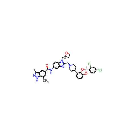 Cc1n[nH]c2c(C(F)(F)F)cc(C(=O)Nc3ccc4c(c3)nc(CN3CC=C(c5cccc6c5OC(C)(c5ccc(Cl)cc5F)O6)CC3)n4C[C@@H]3CCO3)cc12